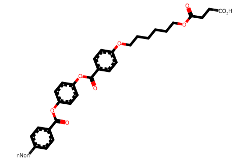 CCCCCCCCCc1ccc(C(=O)Oc2ccc(OC(=O)c3ccc(OCCCCCCOC(=O)CCC(=O)O)cc3)cc2)cc1